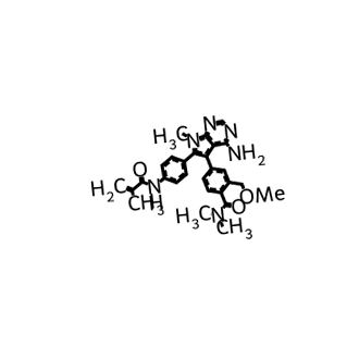 C=C(C)C(=O)Nc1ccc(-c2c(-c3ccc(C(=O)N(C)C)c(COC)c3)c3c(N)ncnc3n2C)cc1